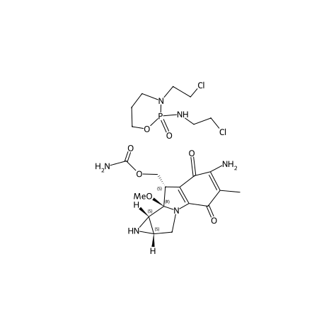 CO[C@@]12[C@H](COC(N)=O)C3=C(C(=O)C(C)=C(N)C3=O)N1C[C@@H]1N[C@@H]12.O=P1(NCCCl)OCCCN1CCCl